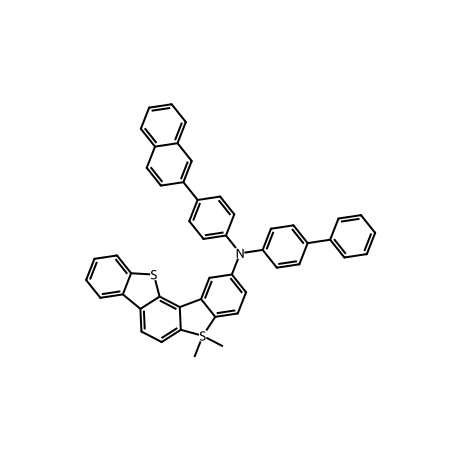 CS1(C)c2ccc(N(c3ccc(-c4ccccc4)cc3)c3ccc(-c4ccc5ccccc5c4)cc3)cc2-c2c1ccc1c2sc2ccccc21